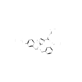 CCOC(=O)c1cnc(N(Cc2cccc(OC)c2)Cc2cccc(OC)c2)o1